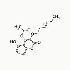 CC/C=C/CCOc1c(OC(C)=O)c2c(O)cccc2oc1=O